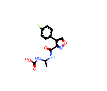 CC(NC(=O)O)NC(=O)c1nocc1-c1ccc(F)cc1